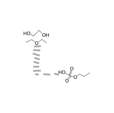 C=C.C=C.C=C.C=C.C=C.C=C.C=C.C=C.C=C.C=C.CCCOS(=O)(=O)O.CCOCC.OCCO